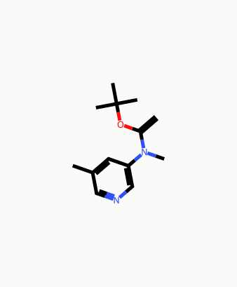 C=C(OC(C)(C)C)N(C)c1cncc(C)c1